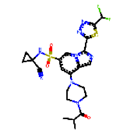 CC(C)C(=O)N1CCN(c2cc(S(=O)(=O)NC3(C#N)CC3)cn3c(-c4nnc(C(F)F)s4)ncc23)CC1